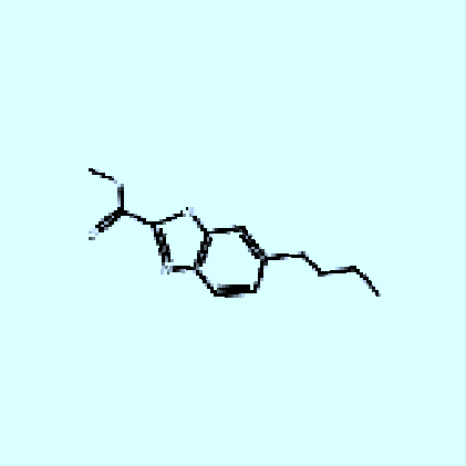 CCCCc1ccc2nc(C(=O)OC)[nH]c2c1